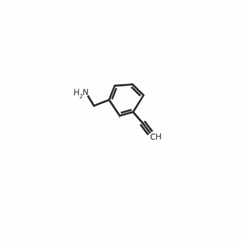 C#Cc1[c]c(CN)ccc1